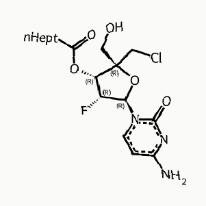 CCCCCCCC(=O)O[C@H]1[C@@H](F)[C@H](n2ccc(N)nc2=O)O[C@@]1(CO)CCl